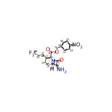 N[C@@H]1C(=O)N2C(C(=O)OCc3ccc([N+](=O)[O-])cc3)=C(SCC(F)(F)F)CS[C@H]12